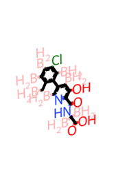 BCc1c(B)c(B)c(Cl)c(B)c1-c1c(B)nc(C(=O)NC(B)(B)C(=O)O)c(O)c1B